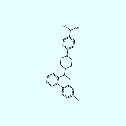 OC(O)c1ccc(N2CCC(C(I)c3ccccc3-c3ccc(Cl)cc3)CC2)cc1